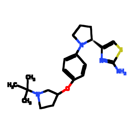 CC(C)(C)N1CCC(Oc2ccc(N3CCC[C@@H]3c3csc(N)n3)cc2)C1